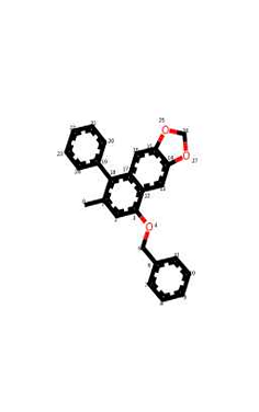 Cc1cc(OCc2ccccc2)c2cc3c(cc2c1-c1ccccc1)OCO3